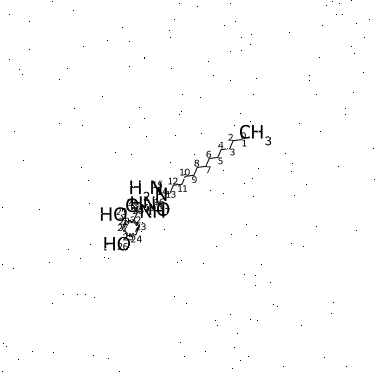 CCCCCCCCCCCCCCN(N)C(=O)NNC(=O)c1ccc(O)cc1O